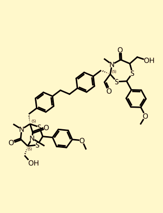 COc1ccc(C2SC(CO)C(=O)N(C)[C@@](C=O)(Cc3ccc(CCc4ccc(C[C@@]56SC(c7ccc(OC)cc7)S[C@@](CO)(C(=O)N5C)N(C)C6=O)cc4)cc3)S2)cc1